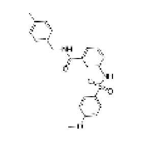 COc1ccc(S(=O)(=O)Nc2cccc(C(=O)NCc3ccc(C)cc3)c2)cc1